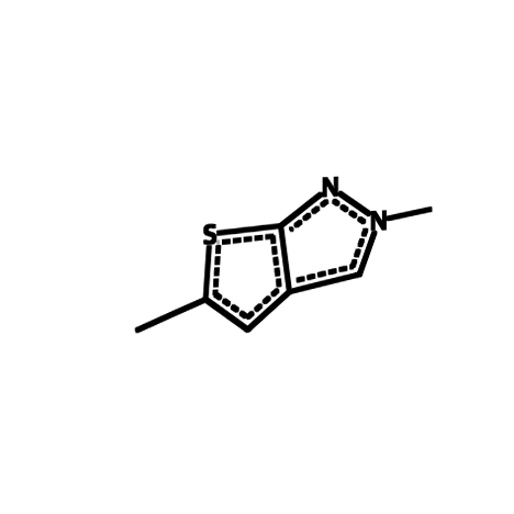 Cc1cc2cn(C)nc2s1